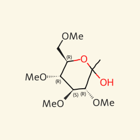 COC[C@H]1OC(C)(O)[C@H](OC)[C@@H](OC)[C@@H]1OC